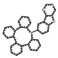 c1ccc2c(c1)c1ccccc1c1ccccc1n(-c1ccc3oc4cncnc4c3c1)c1ccccc21